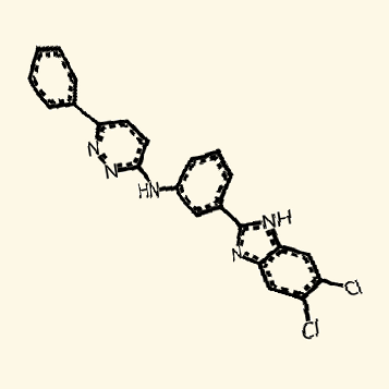 Clc1cc2nc(-c3cccc(Nc4ccc(-c5ccccc5)nn4)c3)[nH]c2cc1Cl